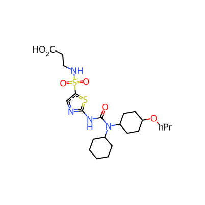 CCCOC1CCC(N(C(=O)Nc2ncc(S(=O)(=O)NCCC(=O)O)s2)C2CCCCC2)CC1